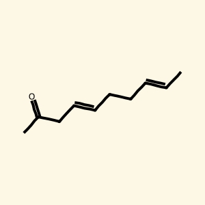 C/C=C/CC/C=C/CC(C)=O